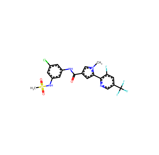 Cn1cc(C(=O)Nc2cc(Cl)cc(NS(C)(=O)=O)c2)cc1-c1ncc(C(F)(F)F)cc1F